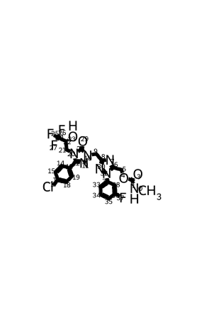 CNC(=O)OCc1nc(Cn2nc(-c3ccc(Cl)cc3)n(C[C@H](O)C(F)(F)F)c2=O)nn1-c1cccc(F)c1